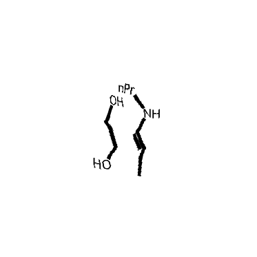 CC=CNCCC.OCCO